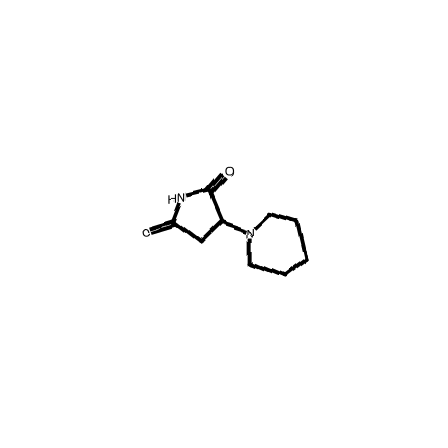 O=C1CC(N2CCCCC2)C(=O)N1